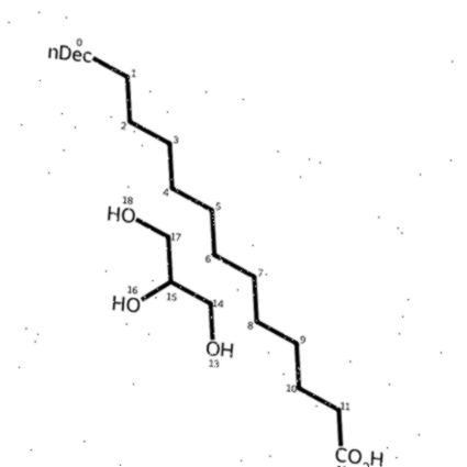 CCCCCCCCCCCCCCCCCCCCCC(=O)O.OCC(O)CO